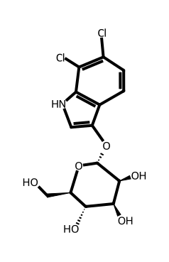 OC[C@H]1O[C@H](Oc2c[nH]c3c(Cl)c(Cl)ccc23)[C@@H](O)[C@@H](O)[C@@H]1O